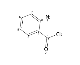 O=C(Cl)c1ccccc1.[N]